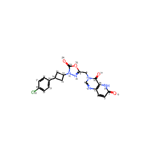 O=c1ccc2ncn(Cc3nn(C4CC(c5ccc(Cl)cc5)C4)c(=O)o3)c(=O)c2[nH]1